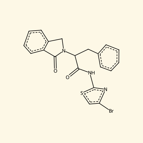 O=C(Nc1nc(Br)cs1)C(Cc1ccccc1)N1Cc2ccccc2C1=O